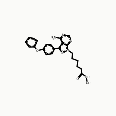 Nc1ncnc2c1c(-c1ccc(Oc3ccccc3)cc1)nn2CCCCCC(=O)NO